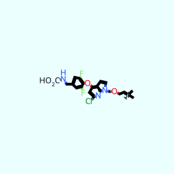 C[Si](C)(C)CCOCn1ccc2c(Oc3c(F)cc(CNC(=O)O)cc3F)cc(Cl)nc21